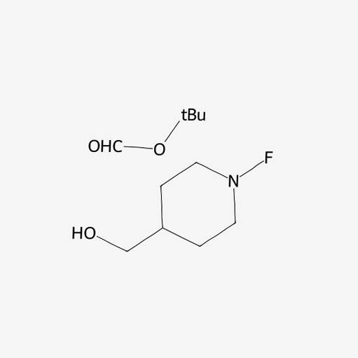 CC(C)(C)OC=O.OCC1CCN(F)CC1